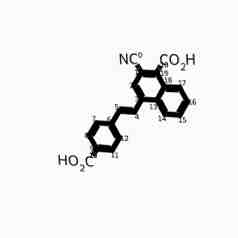 N#Cc1cc(C=Cc2ccc(C(=O)O)cc2)c2ccccc2c1C(=O)O